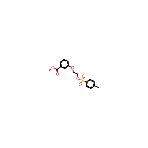 COC(=O)c1cccc(OCCOS(=O)(=O)c2ccc(C)cc2)c1